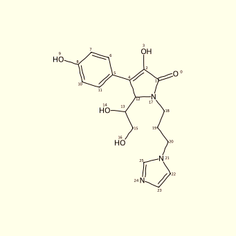 O=C1C(O)=C(c2ccc(O)cc2)C(C(O)CO)N1CCCn1ccnc1